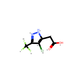 O=C(O)Cc1[nH]nc(C(F)(F)F)c1Cl